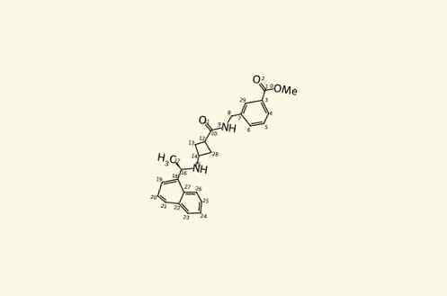 COC(=O)c1cccc(CNC(=O)C2CC(N[C@H](C)c3cccc4ccccc34)C2)c1